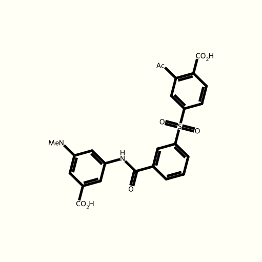 CNc1cc(NC(=O)c2cccc(S(=O)(=O)c3ccc(C(=O)O)c(C(C)=O)c3)c2)cc(C(=O)O)c1